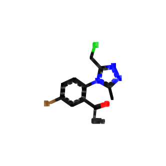 COC(=O)c1cc(Br)ccc1-n1c(C)nnc1CCl